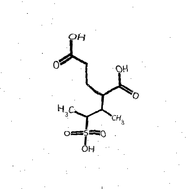 CC(C(CCC(=O)O)C(=O)O)C(C)S(=O)(=O)O